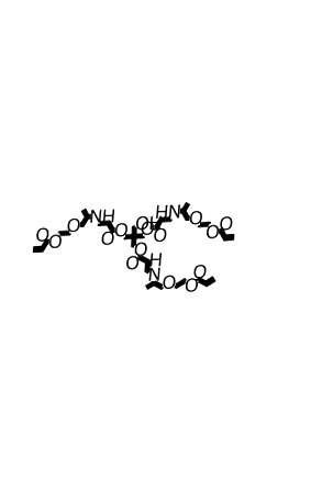 C=CC(=O)OCCOCC(C)NCCC(=O)OCC(CO)(COC(=O)CCNC(C)COCCOC(=O)C=C)COC(=O)CCNC(C)COCCOC(=O)C=C